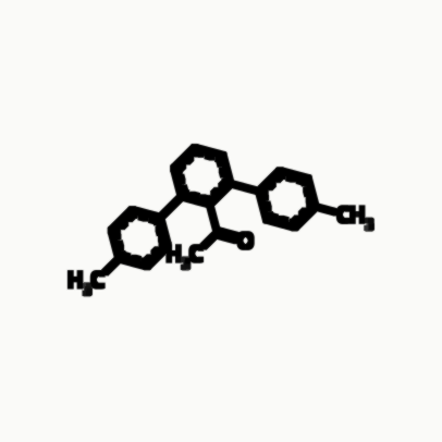 CC(=O)c1c(-c2ccc(C)cc2)cccc1-c1ccc(C)cc1